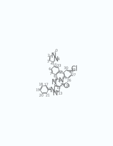 Cn1ccc(-c2ccc(-c3nc4c(cnn4-c4ccccc4)c(=O)n3-c3ccc(Cl)cc3)cc2)n1